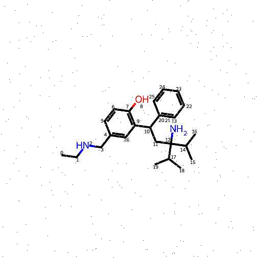 CCNCc1ccc(O)c(C(CC(N)(C(C)C)C(C)C)c2ccccc2)c1